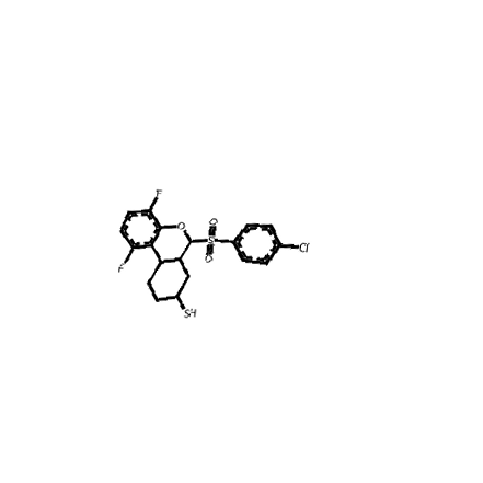 O=S(=O)(c1ccc(Cl)cc1)C1Oc2c(F)ccc(F)c2C2CCC(S)CC21